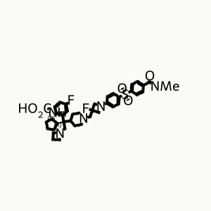 CNC(=O)c1ccc(S(=O)(=O)c2ccc(N3CC(F)(CN4CCC(C(CN5CCC5)(c5cccc(F)c5)[C@H]5CCC[C@@H]5NC(=O)O)CC4)C3)cc2)cc1